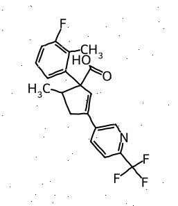 Cc1c(F)cccc1C1(C(=O)O)C=C(c2ccc(C(F)(F)F)nc2)CC1C